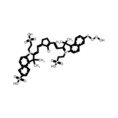 CC1(C)C(=CC=C2CCC(C=CC3=[N+](CCS(=O)(=O)O)c4ccc5cc(SOOO)ccc5c4C3(C)C)=C2Cl)N(CCS(=O)(=O)O)c2ccc3cc(S(=O)(=O)O)ccc3c21